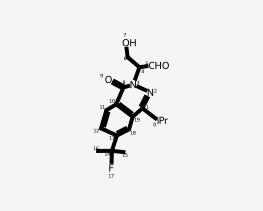 CC(C)c1nn(C(C=O)CO)c(=O)c2ccc(C(C)(C)F)cc12